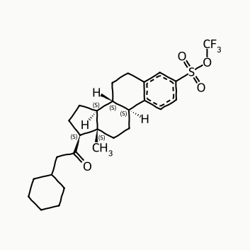 C[C@]12CC[C@@H]3c4ccc(S(=O)(=O)OC(F)(F)F)cc4CC[C@H]3[C@@H]1CC[C@@H]2C(=O)CC1CCCCC1